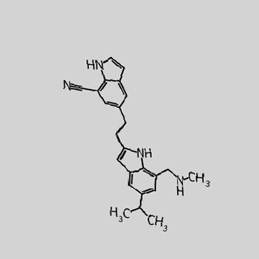 CNCc1cc(C(C)C)cc2cc(CCc3cc(C#N)c4[nH]ccc4c3)[nH]c12